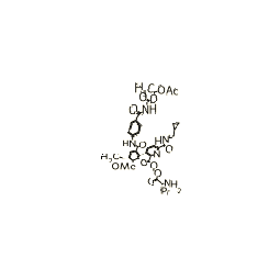 C=Cc1cc(C(=O)Nc2ccc(C(=O)NC(=O)OC(C)OC(C)=O)cc2)c(-c2ccc(C(=O)NCC3CC3)nc2C(=O)OCOC(=O)[C@@H](N)C(C)C)cc1OC